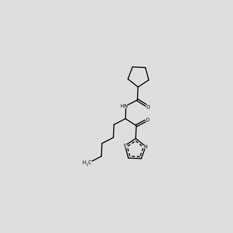 CCCCCC(NC(=O)C1CCCC1)C(=O)c1nccs1